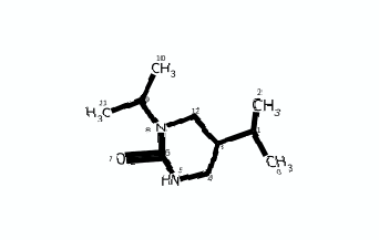 CC(C)C1CNC(=O)N(C(C)C)C1